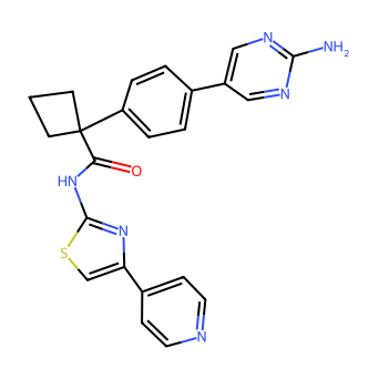 Nc1ncc(-c2ccc(C3(C(=O)Nc4nc(-c5ccncc5)cs4)CCC3)cc2)cn1